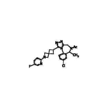 CC(=O)N1Cc2nnc(C3CC4(C3)CN(c3ccc(F)cn3)C4)n2-c2ccc(Cl)cc2C1C